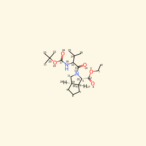 CCOC(=O)[C@@H]1[C@H]2CCC[C@H]2CN1C(=O)C(NC(=O)OC(C)(C)C)C(C)C